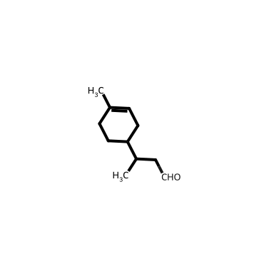 CC1=CCC(C(C)CC=O)CC1